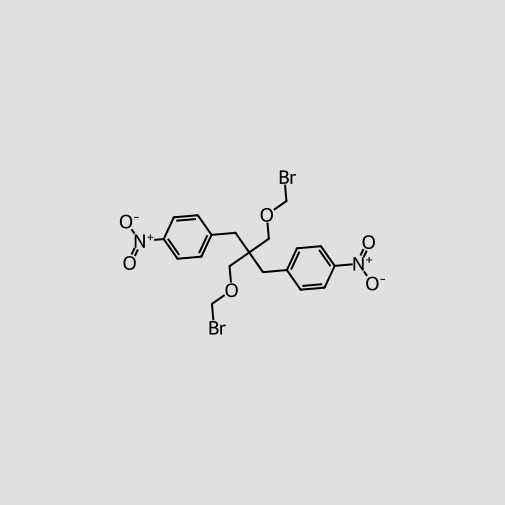 O=[N+]([O-])c1ccc(CC(COCBr)(COCBr)Cc2ccc([N+](=O)[O-])cc2)cc1